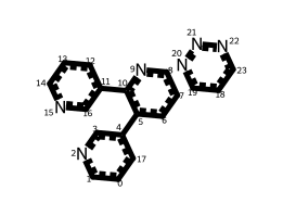 c1cncc(-c2cccnc2-c2cccnc2)c1.c1cnnnc1